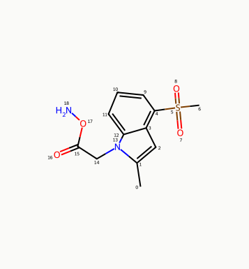 Cc1cc2c(S(C)(=O)=O)cccc2n1CC(=O)ON